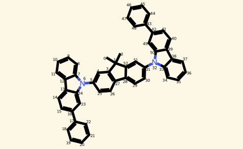 CC1(C)c2cc(-n3c4ccccc4c4ccc(-c5ccccc5)cc43)ccc2-c2ccc(-n3c4ccccc4c4ccc(-c5ccccc5)cc43)cc21